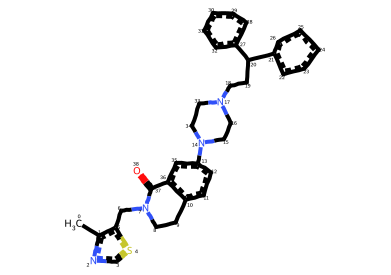 Cc1ncsc1CN1CCc2ccc(N3CCN(CCC(c4ccccc4)c4ccccc4)CC3)cc2C1=O